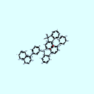 CC1(C)c2ccccc2-c2ccc(N(c3cccc(-c4cccc5ccccc45)c3)c3ccccc3-c3ccc(-c4ccccc4)cc3)cc21